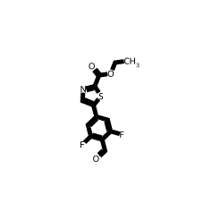 CCOC(=O)c1ncc(-c2cc(F)c(C=O)c(F)c2)s1